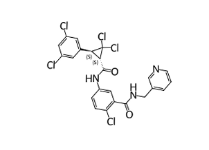 O=C(NCc1cccnc1)c1cc(NC(=O)[C@@H]2[C@@H](c3cc(Cl)cc(Cl)c3)C2(Cl)Cl)ccc1Cl